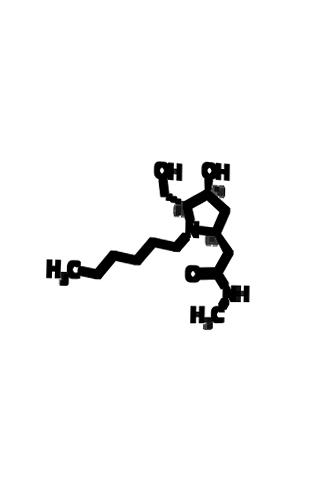 CCCCCCN1[C@H](CC(=O)NC)C[C@H](O)[C@H]1CO